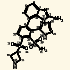 Nc1nc2cccc(-c3ccc(S(=O)(=O)C4CNC4)c(S(N)(=O)=O)c3-c3nnn[nH]3)c2[nH]1